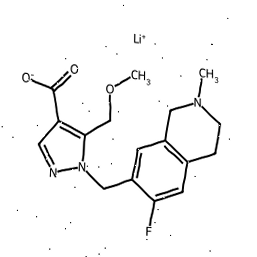 COCc1c(C(=O)[O-])cnn1Cc1cc2c(cc1F)CCN(C)C2.[Li+]